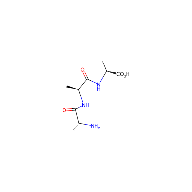 C[C@H](NC(=O)[C@H](C)NC(=O)[C@@H](C)N)C(=O)O